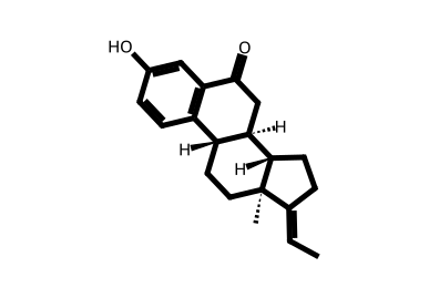 CC=C1CC[C@H]2[C@@H]3CC(=O)c4cc(O)ccc4[C@H]3CC[C@]12C